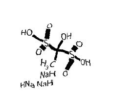 CC(O)(S(=O)(=O)O)S(=O)(=O)O.[NaH].[NaH].[NaH]